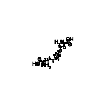 NC(CCCCn1cc[n+](CCCCC(N)C(=O)O)c1)C(=O)O